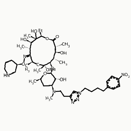 CC[C@H]1OC(=O)[C@H](C)[C@@H](O)[C@H](C)[C@@H](O[C@@H]2O[C@H](C)C[C@H](N(C)CCc3cn(CCCCc4ccc([N+](=O)[O-])cc4)nn3)[C@H]2O)[C@](C)(OC)C[C@@H](C)/C(=N\O[C@@H]2CCCNC2)[C@H](C)[C@@H](O)[C@]1(C)O